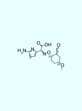 CO[C@H]1CC[C@H](ON=C(C(=O)O)c2csc(N)n2)C(=C=O)C1